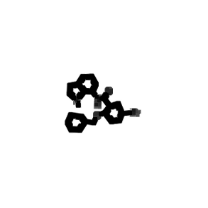 CC(C)c1ccc(OCc2ccccc2)c(C(=O)Nc2cccc3ccn(C)c23)c1